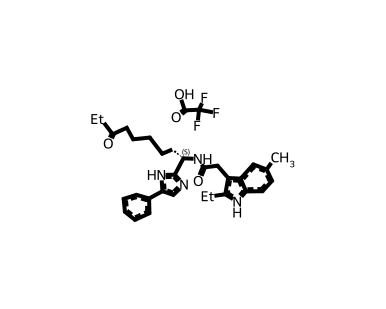 CCC(=O)CCCCC[C@H](NC(=O)Cc1c(CC)[nH]c2ccc(C)cc12)c1ncc(-c2ccccc2)[nH]1.O=C(O)C(F)(F)F